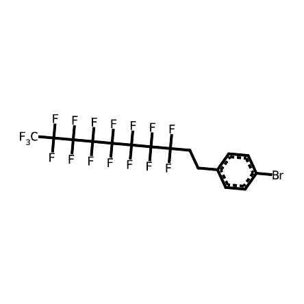 FC(F)(F)C(F)(F)C(F)(F)C(F)(F)C(F)(F)C(F)(F)C(F)(F)C(F)(F)CCc1ccc(Br)cc1